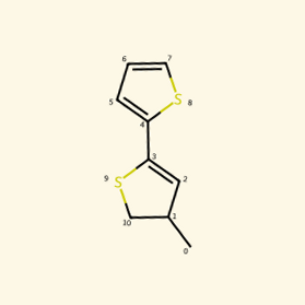 CC1C=C(c2cccs2)SC1